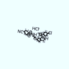 Cl.N#Cc1ccc(S(=O)(=O)NCCOc2ccc3c(c2)C(C2(c4ccc(Cl)cc4)CCC2)NCC3)cc1